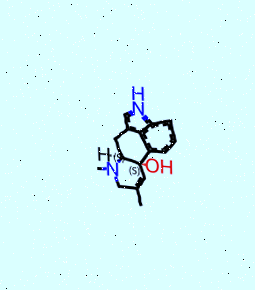 CC1=C[C@]2(O)c3cccc4[nH]cc(c34)C[C@@H]2N(C)C1